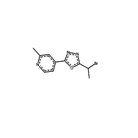 Cc1cc(-c2nnc(C(C)Br)o2)ccn1